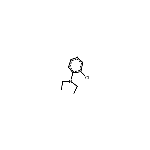 CCN(CC)c1cc[c]cc1Cl